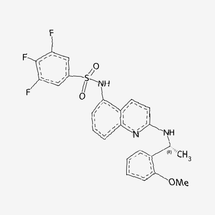 COc1ccccc1[C@@H](C)Nc1ccc2c(NS(=O)(=O)c3cc(F)c(F)c(F)c3)cccc2n1